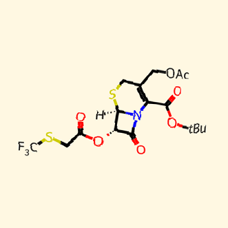 CC(=O)OCC1=C(C(=O)OC(C)(C)C)N2C(=O)[C@H](OC(=O)CSC(F)(F)F)[C@H]2SC1